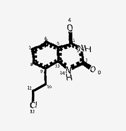 O=c1[nH]c(=O)c2cccc(CCCl)c2[nH]1